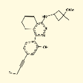 COC1(C)CC(Nc2nnc(-c3ccc(C#CCF)cc3O)c3c2CCCC3)C1